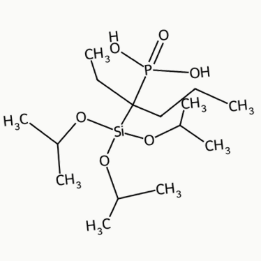 CCCC(CC)([Si](OC(C)C)(OC(C)C)OC(C)C)P(=O)(O)O